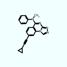 CN(c1ccccc1)c1nc2nncn2c2cc(C#CC3CC3)ccc12